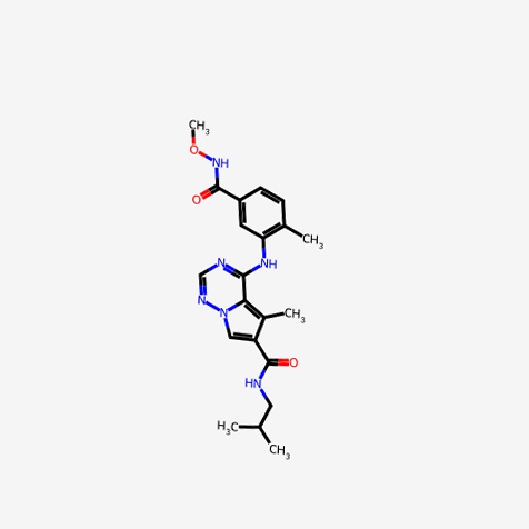 CONC(=O)c1ccc(C)c(Nc2ncnn3cc(C(=O)NCC(C)C)c(C)c23)c1